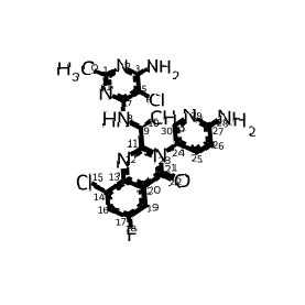 Cc1nc(N)c(Cl)c(N[C@@H](C)c2nc3c(Cl)cc(F)cc3c(=O)n2-c2ccc(N)nc2)n1